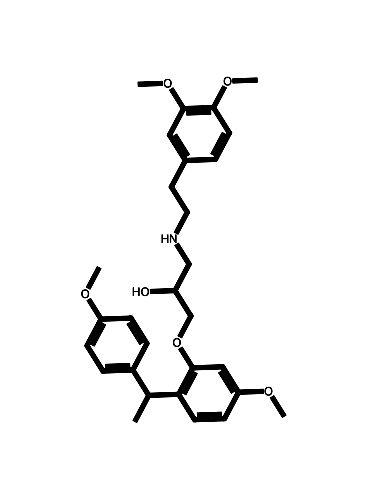 COc1ccc(C(C)c2ccc(OC)cc2OCC(O)CNCCc2ccc(OC)c(OC)c2)cc1